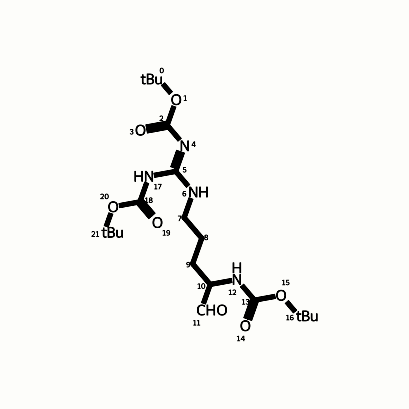 CC(C)(C)OC(=O)/N=C(/NCCCC(C=O)NC(=O)OC(C)(C)C)NC(=O)OC(C)(C)C